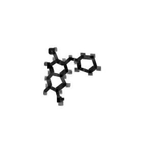 Cc1cc2nc(Cl)c(Cc3ccccc3)cc2cc1Br